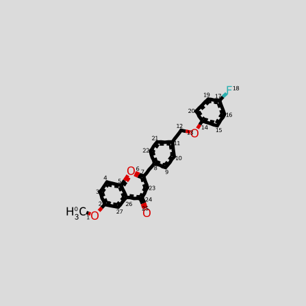 COc1ccc2oc(-c3ccc(COc4ccc(F)cc4)cc3)cc(=O)c2c1